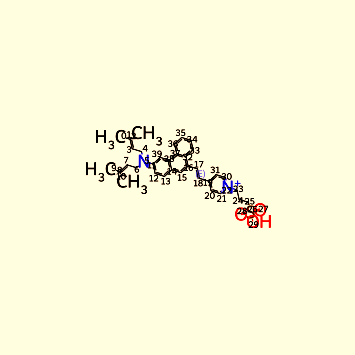 CC(C)=CCN(CC=C(C)C)c1ccc2cc(/C=C/c3cc[n+](CCCS(=O)(=O)O)cc3)c3ccccc3c2c1